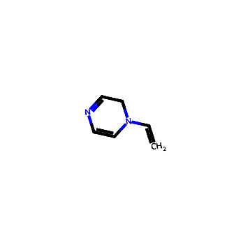 C=CN1C=CN=CC1